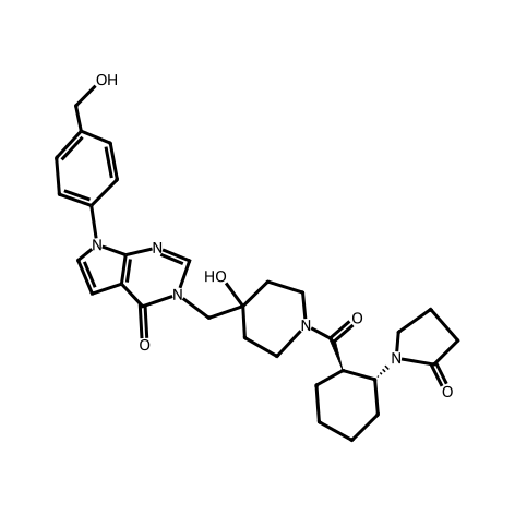 O=C([C@@H]1CCCC[C@H]1N1CCCC1=O)N1CCC(O)(Cn2cnc3c(ccn3-c3ccc(CO)cc3)c2=O)CC1